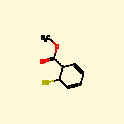 COC(=O)[C]1C=CC=CC1S